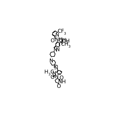 Cn1c(=O)n(C2CCC(=O)NC2=O)c2cccc(N3CC4(CCN(C[C@H]5CC[C@H](n6cc7cc(NC(=O)c8cccc(C(F)(F)F)n8)c(C(C)(C)O)cc7n6)CC5)CC4)C3)c21